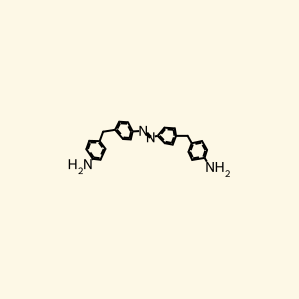 Nc1ccc(Cc2ccc(N=Nc3ccc(Cc4ccc(N)cc4)cc3)cc2)cc1